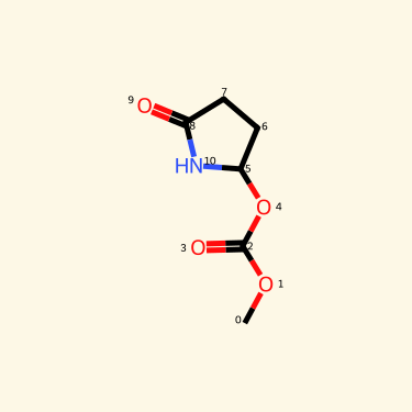 COC(=O)OC1CCC(=O)N1